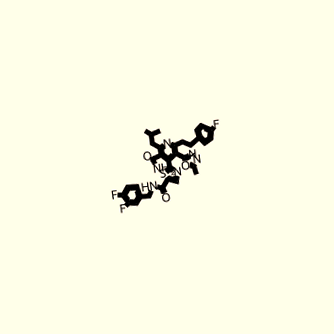 Cc1nnc(-c2c(CCc3ccc(F)cc3)nc(CC(C)C)c(C(N)=O)c2-c2ncc(C(=O)NCc3ccc(F)c(F)c3)s2)o1